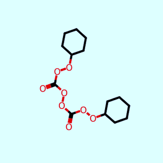 O=C(OOC(=O)OOC1CCCCC1)OOC1CCCCC1